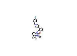 CCNC(=O)N(Cc1ccccc1C1CCN(Cc2ccc(F)cc2)CC1)c1cccc(C)c1